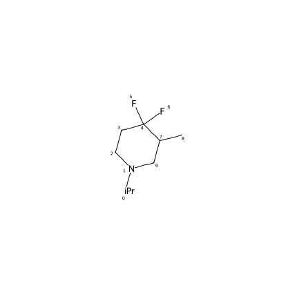 CC(C)N1CCC(F)(F)C(C)C1